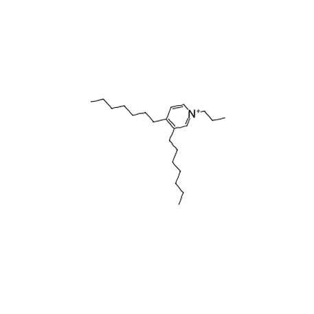 CCCCCCCc1cc[n+](CCC)cc1CCCCCCC